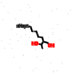 CCCCCCCCCCCCC(CO)C(C)O